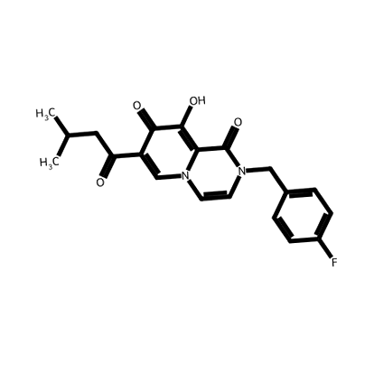 CC(C)CC(=O)c1cn2ccn(Cc3ccc(F)cc3)c(=O)c2c(O)c1=O